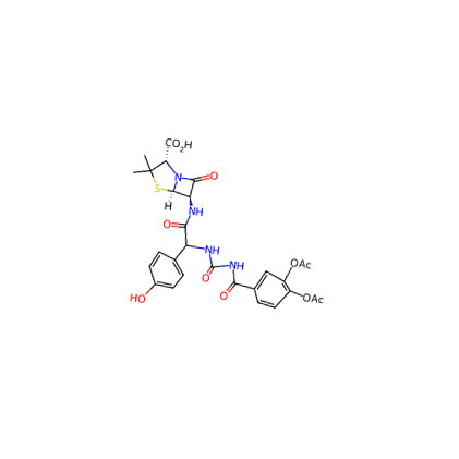 CC(=O)Oc1ccc(C(=O)NC(=O)NC(C(=O)N[C@@H]2C(=O)N3[C@@H]2SC(C)(C)[C@@H]3C(=O)O)c2ccc(O)cc2)cc1OC(C)=O